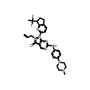 C=CCn1c(=O)c2cnc(Nc3ccc(N4CCN(C)CC4)cc3)nc2n1-c1ccc2c(n1)C(C(C)(F)F)CC2